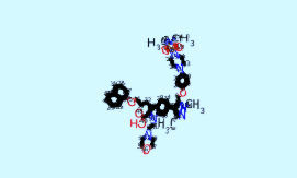 Cc1nn(C)c(COc2ccc(N3CCN(S(=O)(=O)N(C)C)CC3)cc2)c1-c1ccc2c(CCCOc3cccc4ccccc34)c(C(=O)O)n(CCN3CCOCC3)c2c1